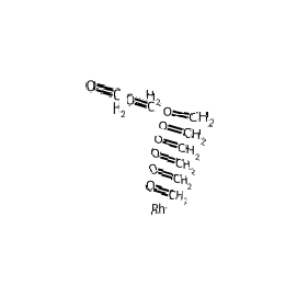 C=O.C=O.C=O.C=O.C=O.C=O.C=O.C=O.[Rh]